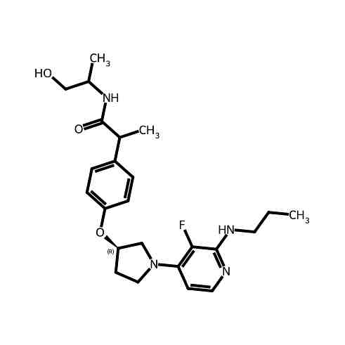 CCCNc1nccc(N2CC[C@@H](Oc3ccc(C(C)C(=O)NC(C)CO)cc3)C2)c1F